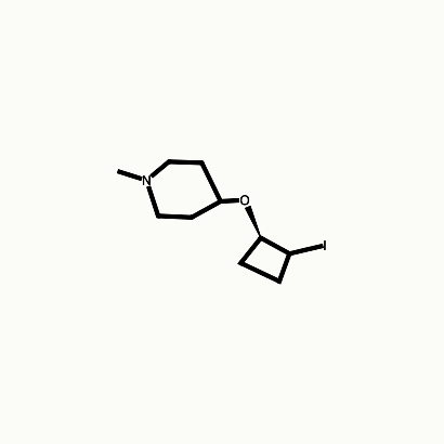 CN1CCC(O[C@@H]2CCC2I)CC1